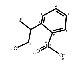 CC(C[O])c1ccccc1[N+](=O)[O-]